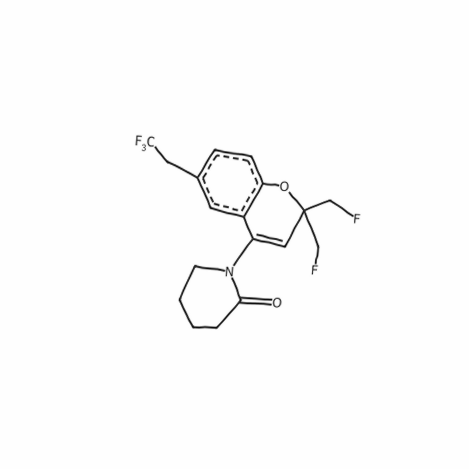 O=C1CCCCN1C1=CC(CF)(CF)Oc2ccc(CC(F)(F)F)cc21